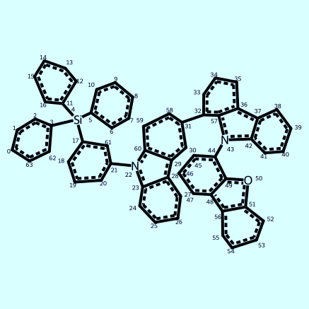 c1ccc([Si](c2ccccc2)(c2ccccc2)c2cccc(-n3c4ccccc4c4cc(-c5cccc6c7ccccc7n(-c7cccc8c7oc7ccccc78)c56)ccc43)c2)cc1